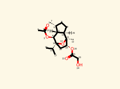 CC(=O)O[C@H]1[C@@H]2[C@H](C)CC[C@H]2[C@]2(C)O[C@@]1(C(C)C)C[C@H]2OC(=O)CO